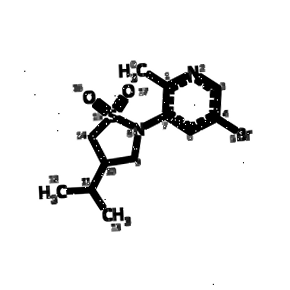 Cc1ncc(Br)cc1N1CC(C(C)C)CS1(=O)=O